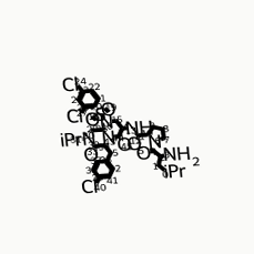 CC(C)CC(N)C(=O)N1CCCC1C(=O)NC1CN(S(=O)(=O)c2ccc(Cl)cc2Cl)C2CN(C(C)C)C(=O)C(Cc3ccc(Cl)cc3)N2C1=O